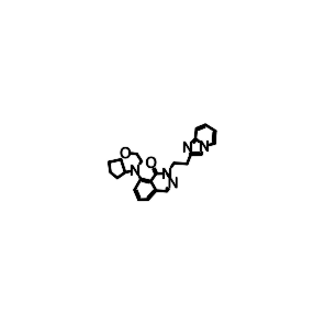 O=c1c2c(N3CCOC4CCCC43)cccc2cnn1CCc1cn2ccccc2n1